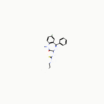 CCOC(=O)CCNC(=S)NC1N=C(c2ccccc2)c2cc(Cl)ccc2N(C)C1=O